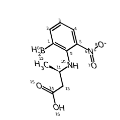 Bc1cccc([N+](=O)[O-])c1N[C@H](C)CC(=O)O